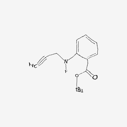 C#CCN(F)c1ccccc1C(=O)OC(C)(C)C